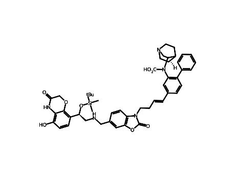 CC(C)(C)[Si](C)(C)O[C@@H](CNCc1ccc2c(c1)oc(=O)n2CC/C=C/c1ccc(-c2ccccc2)c(N(C(=O)O)[C@H]2CN3CCC2CC3)c1)c1ccc(O)c2c1OCC(=O)N2